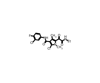 CCNC(=O)C(=O)c1c(C)c(C(=O)Nc2ccc(F)c(Cl)c2)c(Cl)n1C